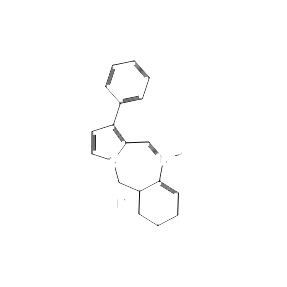 [O-][N+]1=Cc2c(-c3ccccc3)ccn2C[C@@H]2CCCC=C21